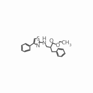 CCOC(=O)C(CNc1nc(-c2ccccc2)cs1)Cc1ccccc1